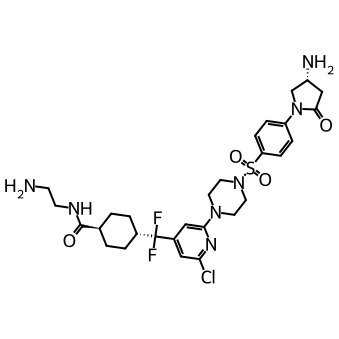 NCCNC(=O)[C@H]1CC[C@H](C(F)(F)c2cc(Cl)nc(N3CCN(S(=O)(=O)c4ccc(N5C[C@H](N)CC5=O)cc4)CC3)c2)CC1